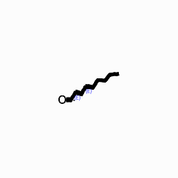 CCCC/C=C/C=C/[C]=O